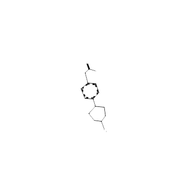 CCCC1CCC(c2ccc(CC(=O)Cl)cc2)CC1